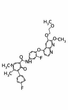 COCCOc1cc2c(Oc3ccc(NC(=O)c4cn(C)c(C)c(-c5ccc(F)cc5)c4=O)cc3F)ccnc2nc1OC